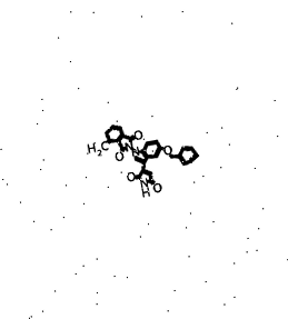 C=C1CC=CC2=C1C(=O)N(n1cc(C3=CC(=O)NC3=O)c3cc(OCc4ccccc4)ccc31)C2=O